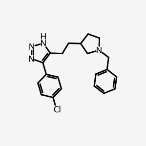 Clc1ccc(-c2nn[nH]c2CCC2CCN(Cc3ccccc3)C2)cc1